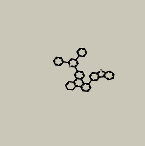 C1=Cc2c(c3cccc(-c4ccc5oc6ccccc6c5c4)c3c3ccc(-c4cc(-c5ccccc5)cc(-c5ccccc5)n4)cc23)CC1